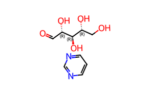 O=C[C@H](O)[C@H](O)[C@H](O)CO.c1cncnc1